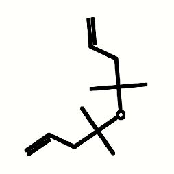 C=CCC(C)(C)OC(C)(C)CC=C